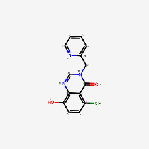 O=c1c2c(Cl)ccc(O)c2ncn1Cc1ccccn1